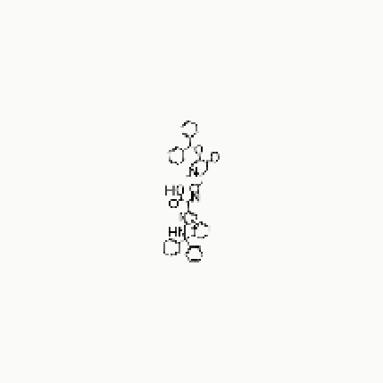 CN1C=C(OC(c2ccccc2)c2ccccc2)C(=O)CC1CO/N=C(\C(=O)O)c1csc(NC(c2ccccc2)(c2ccccc2)c2ccccc2)n1